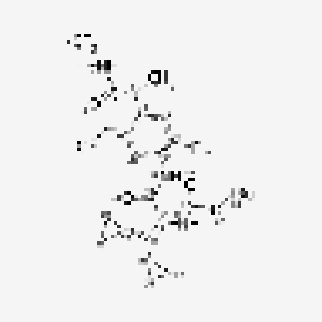 CC(C(=O)NCC(F)(F)F)c1cc(F)c(NC(=O)[C@@H](NC(=O)OC(C)(C)C)C(=C2CC2)C2CC2)cc1CCl